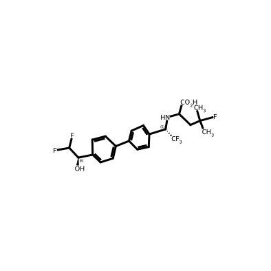 CC(C)(F)CC(N[C@@H](c1ccc(-c2ccc([C@@H](O)C(F)F)cc2)cc1)C(F)(F)F)C(=O)O